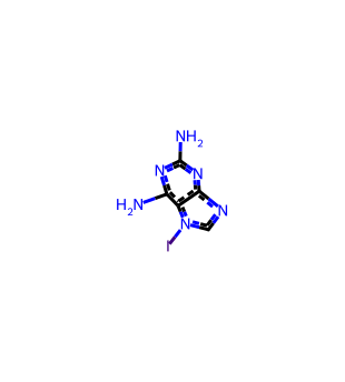 Nc1nc(N)c2c(ncn2I)n1